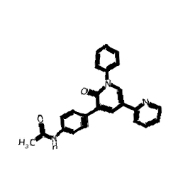 CC(=O)Nc1ccc(-c2cc(-c3ccccn3)cn(-c3ccccc3)c2=O)cc1